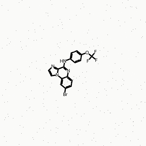 FC(F)(F)Oc1ccc(Nc2nc3ccc(Br)cc3n3ccnc23)cc1